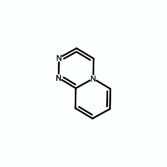 C1=CN2C=CC=CC2=NN=1